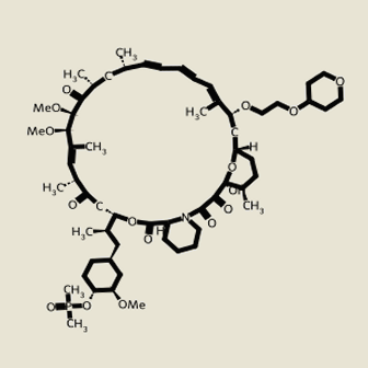 CO[C@@H]1/C(C)=C/[C@@H](C)C(=O)C[C@@H]([C@H](C)C[C@@H]2CC[C@@H](OP(C)(C)=O)[C@H](OC)C2)OC(=O)[C@@H]2CCCCN2C(=O)C(=O)[C@]2(O)O[C@@H](CC[C@H]2C)C[C@@H](OCCOC2CCOCC2)/C(C)=C/C=C/C=C/[C@@H](C)C[C@@H](C)C(=O)[C@@H]1OC